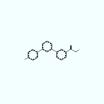 N=C(CN)c1cccc(-c2cccc(-c3ccc(N)cc3)c2)c1